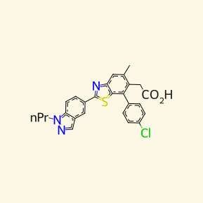 CCCn1ncc2cc(-c3nc4cc(C)c(CC(=O)O)c(-c5ccc(Cl)cc5)c4s3)ccc21